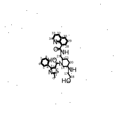 Cc1nc(-c2ccccc2)c(C(O)N2CC(NCCO)CCC2CNC(=O)c2cccc3cccnc23)s1